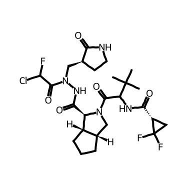 CC(C)(C)C(NC(=O)[C@@H]1CC1(F)F)C(=O)N1C[C@@H]2CCC[C@@H]2[C@H]1C(=O)NN(C[C@@H]1CCNC1=O)C(=O)C(F)Cl